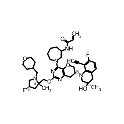 C#Cc1c(F)ccc2c1N([C@H]1COc3c(nc(OC[C@]4(C)C[C@@H](F)CN4CC4CCOCC4)nc3N3CCCCC(NC(=O)C=C)C3)C1)C[C@](C)(O)C2